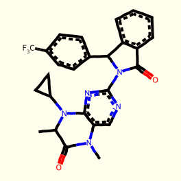 CC1C(=O)N(C)c2cnc(N3C(=O)c4ccccc4C3c3ccc(C(F)(F)F)cc3)nc2N1C1CC1